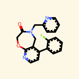 O=C1COc2nccc(-c3ccccc3F)c2CN1Cc1ccccn1